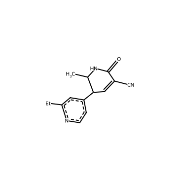 CCc1cc(C2C=C(C#N)C(=O)NC2C)ccn1